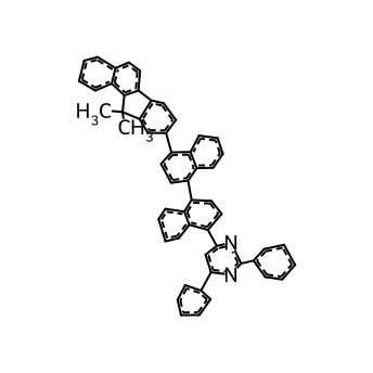 CC1(C)c2cc(-c3ccc(-c4ccc(-c5cc(-c6ccccc6)nc(-c6ccccc6)n5)c5ccccc45)c4ccccc34)ccc2-c2ccc3ccccc3c21